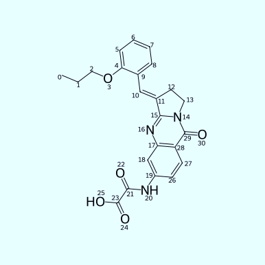 CCCOc1ccccc1C=C1CCn2c1nc1cc(NC(=O)C(=O)O)ccc1c2=O